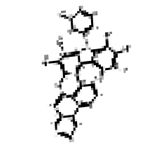 [2H]c1c([2H])c([2H])c2c(c1[2H])c1c(-c3cccc4c3ccc3ccccc34)c([2H])c([2H])c([2H])c1n2-c1cccc(Br)c1